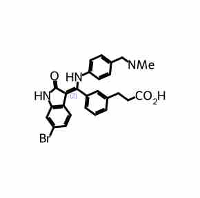 CNCc1ccc(N/C(=C2\C(=O)Nc3cc(Br)ccc32)c2cccc(CCC(=O)O)c2)cc1